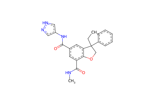 CCC1(c2ccccc2)COc2c(C(=O)NC)cc(C(=O)Nc3cn[nH]c3)cc21